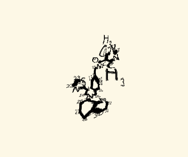 Cc1ncnc(C)c1C(=O)NCc1ccc(CN(CCc2nccs2)C2CCCc3cccnc32)cc1